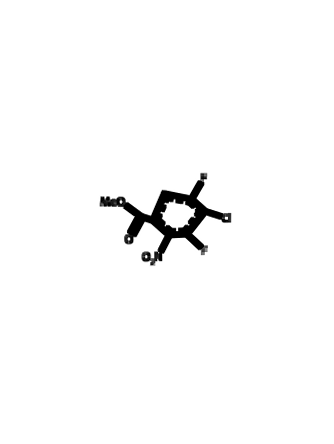 COC(=O)c1cc(F)c(Cl)c(F)c1[N+](=O)[O-]